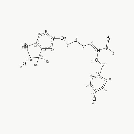 CC(=O)[N+](=CCCCOc1ccc2c(c1)C(C)(C)C(=O)N2)OSc1ccc(Cl)cc1